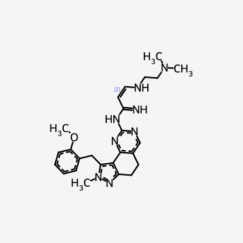 COc1ccccc1Cc1c2c(nn1C)CCc1cnc(NC(=N)/C=C\NCCN(C)C)nc1-2